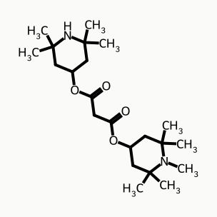 CN1C(C)(C)CC(OC(=O)CC(=O)OC2CC(C)(C)NC(C)(C)C2)CC1(C)C